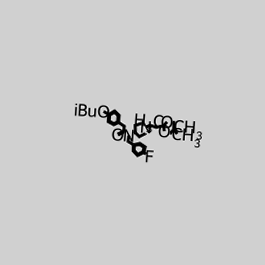 CC(C)COc1ccc(CC(=O)N(Cc2ccc(F)cc2)C2CCN(CCC3(C)OCC(C)(C)CO3)CC2)cc1